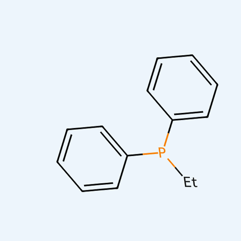 [CH]CP(c1ccccc1)c1ccccc1